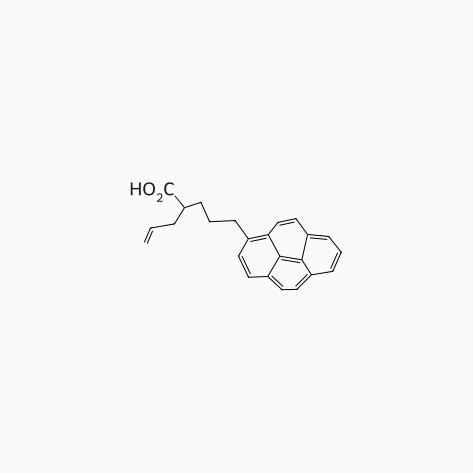 C=CCC(CCCc1ccc2ccc3cccc4ccc1c2c34)C(=O)O